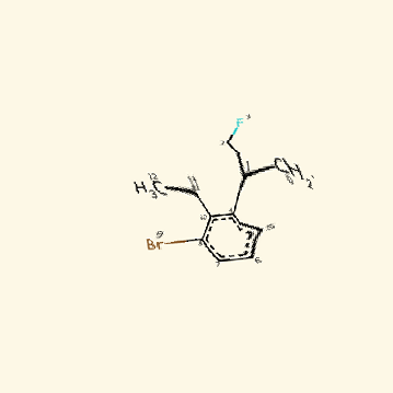 [CH2]C(CF)c1cccc(Br)c1CC